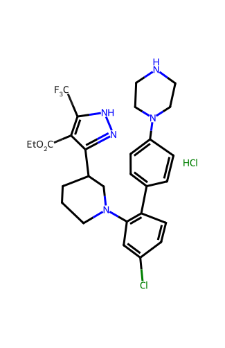 CCOC(=O)c1c(C2CCCN(c3cc(Cl)ccc3-c3ccc(N4CCNCC4)cc3)C2)n[nH]c1C(F)(F)F.Cl